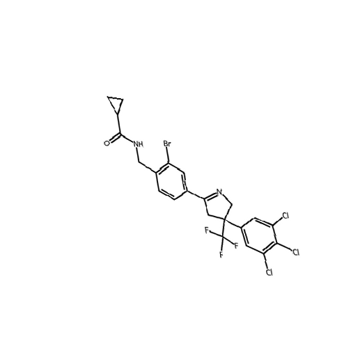 O=C(NCc1ccc(C2=NCC(c3cc(Cl)c(Cl)c(Cl)c3)(C(F)(F)F)C2)cc1Br)C1CC1